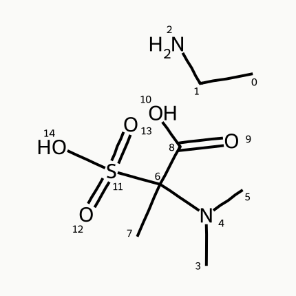 CCN.CN(C)C(C)(C(=O)O)S(=O)(=O)O